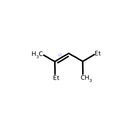 CC/C(C)=C\C(C)CC